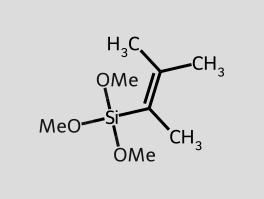 CO[Si](OC)(OC)C(C)=C(C)C